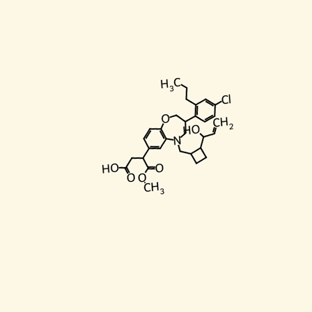 C=CC(O)C1CCC1CN1CC(c2ccc(Cl)cc2CCC)COc2ccc(C(CC(=O)O)C(=O)OC)cc21